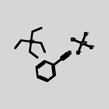 CC[N+](CC)(CC)CC.N#Cc1ccccc1.[O-][Cl+3]([O-])([O-])[O-]